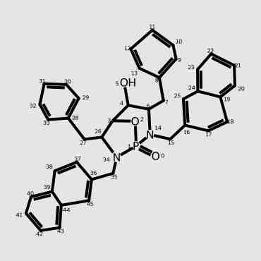 O=P12OC(C(O)C(Cc3ccccc3)N1Cc1ccc3ccccc3c1)C(Cc1ccccc1)N2Cc1ccc2ccccc2c1